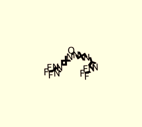 O=C(N1CC2(CC(n3cnc(C(F)(F)F)n3)C2)C1)N1CC2(CN(Cc3cnn(CC(F)(F)F)c3)C2)C1